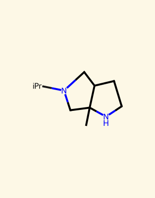 CC(C)N1CC2CCNC2(C)C1